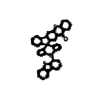 O=c1c2ccccc2sc2cc3c(cc12)C1(c2ccccc2-3)c2ccccc2N(c2cccc3c2sc2ccccc23)c2ccccc21